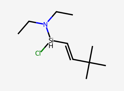 CCN(CC)[SiH](Cl)C=CC(C)(C)C